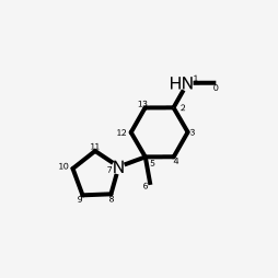 CNC1CCC(C)(N2CCCC2)CC1